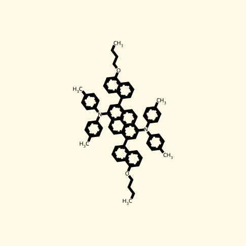 CCCCOc1cccc2c(-c3cc(N(c4ccc(C)cc4)c4ccc(C)cc4)c4ccc5c(-c6cccc7c(OCCCC)cccc67)cc(N(c6ccc(C)cc6)c6ccc(C)cc6)c6ccc3c4c56)cccc12